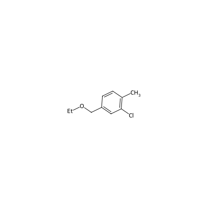 CCOCc1ccc(C)c(Cl)c1